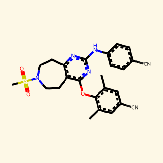 Cc1cc(C#N)cc(C)c1Oc1nc(Nc2ccc(C#N)cc2)nc2c1CCN(S(C)(=O)=O)CC2